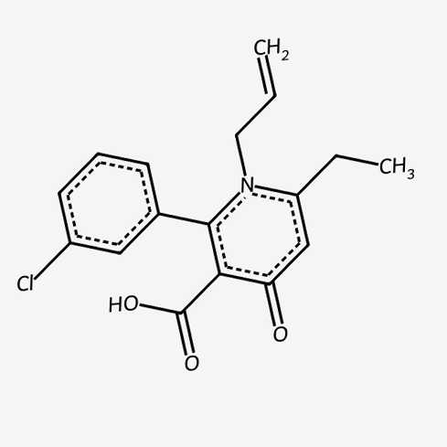 C=CCn1c(CC)cc(=O)c(C(=O)O)c1-c1cccc(Cl)c1